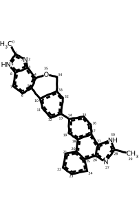 Cc1nc2c3c(ccc2[nH]1)-c1ccc(-c2ccc4c(c2)c2ccccc2c2nc(C)[nH]c42)cc1CO3